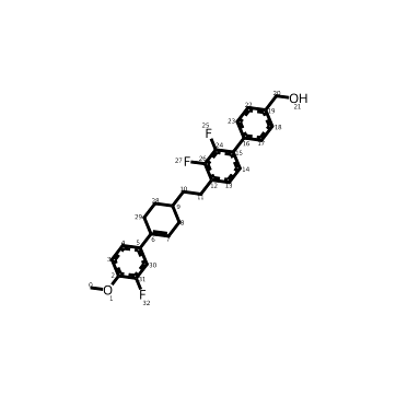 COc1ccc(C2=CCC(CCc3ccc(-c4ccc(CO)cc4)c(F)c3F)CC2)cc1F